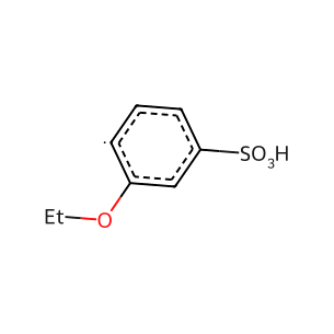 CCOc1[c]ccc(S(=O)(=O)O)c1